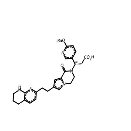 CC(C)COc1ccc([C@H](CC(=O)O)N2CCn3cc(CCc4ccc5c(n4)NCCC5)cc3C2=O)cn1